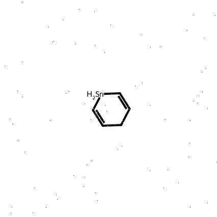 C1=[CH][SnH2][CH]=CC1